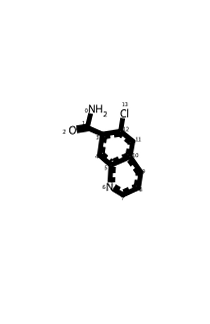 NC(=O)c1cc2ncccc2cc1Cl